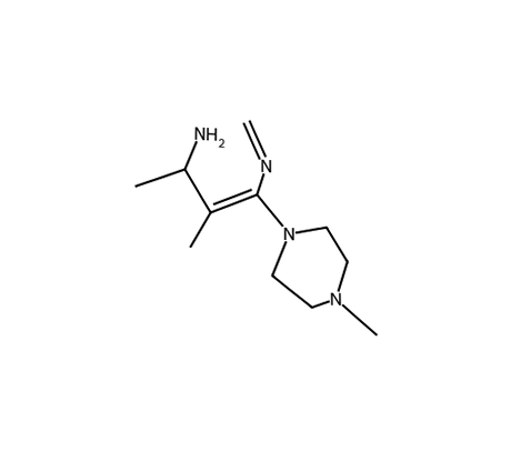 C=N/C(=C(/C)C(C)N)N1CCN(C)CC1